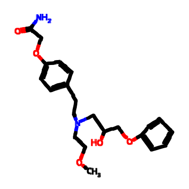 COCCN(CCc1ccc(OCC(N)=O)cc1)CC(O)COc1ccccc1